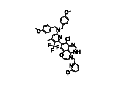 COc1ccc(CN(Cc2ccc(OC)cc2)c2cc(C)c(C(F)(F)F)c(-c3cc4c5c(c3Cl)=NCNC=5N(Cc3cccc(OC)n3)C=CO4)n2)cc1